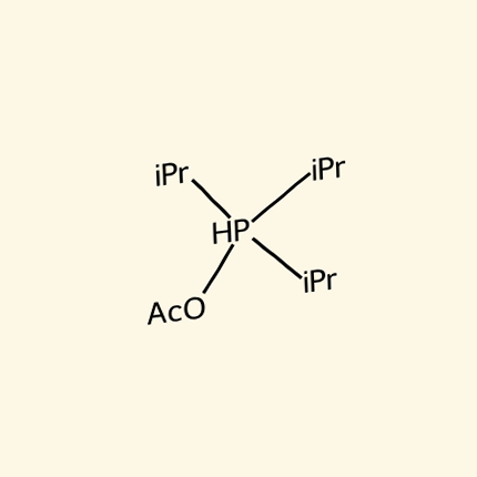 CC(=O)O[PH](C(C)C)(C(C)C)C(C)C